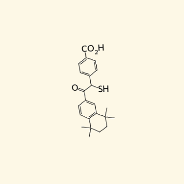 CC1(C)CCC(C)(C)c2cc(C(=O)C(S)c3ccc(C(=O)O)cc3)ccc21